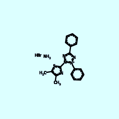 Br.Cc1nc(-n2nc(-c3ccccc3)n[n+]2-c2ccccc2)sc1C.N